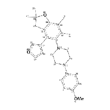 COc1ccc(N2CCN(c3c(C)c(C)c4c(c3-c3ccoc3)CC(C)(C)O4)CC2)cc1